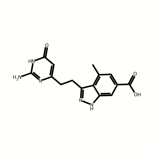 Cc1cc(C(=O)O)cc2[nH]nc(CCc3cc(=O)[nH]c(N)n3)c12